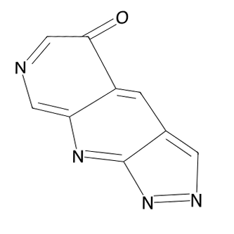 O=C1C=NC=c2nc3c(cc21)=CN=N3